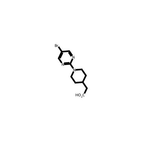 O=C(O)CC1CCN(c2ncc(Br)cn2)CC1